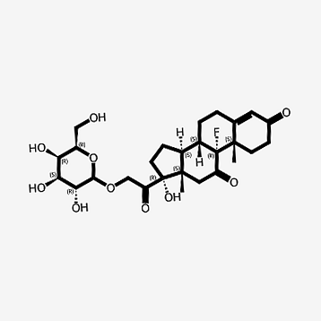 C[C@]12CCC(=O)C=C1CC[C@H]1[C@@H]3CC[C@](O)(C(=O)COC4O[C@H](CO)[C@H](O)[C@H](O)[C@H]4O)[C@@]3(C)CC(=O)[C@@]12F